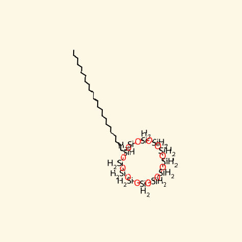 CCCCCCCCCCCCCCCCCCCCCCCC[SiH]1O[SiH2]O[SiH2]O[SiH2]O[SiH2]O[SiH2]O[SiH2]O[SiH2]O[SiH2]O[SiH2]O[SiH2]O[SiH2]O1